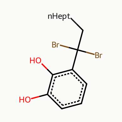 CCCCCCCCC(Br)(Br)c1cccc(O)c1O